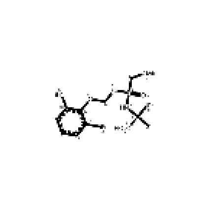 COCP(=O)(N[C@](C)(C(=O)O)C(C)C)OCOc1c(C(C)C)cccc1C(C)C